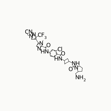 Cn1c(-c2cn(CC#N)nc2C(F)(F)F)cnc1C(=O)Nc1ccc(C(=O)NC2CC(NC(=O)N3CCCC3CN)C2)c(Cl)c1